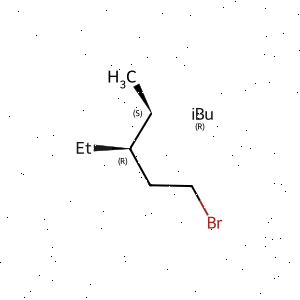 CC[C@H](CCBr)[C@@H](C)[C@H](C)CC